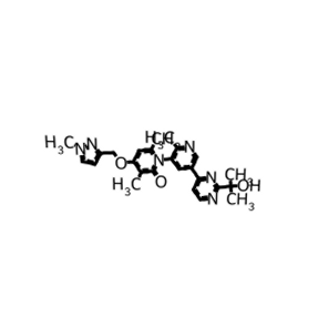 Cc1ncc(-c2ccnc(C(C)(C)O)n2)cc1-n1c(C)cc(OCc2ccn(C)n2)c(C)c1=O